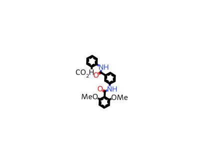 COc1cccc(OC)c1C(=O)Nc1cccc(C(=O)Nc2ccccc2C(=O)O)c1